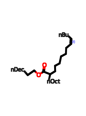 CCCC/C=C\CCCCCCC(CCCCCCCC)C(=O)OCCCCCCCCCCCC